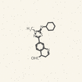 Cn1nc(-c2ccc3c(c2)N=CCC3C=O)sc1=NC1CCCCC1